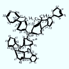 CC1(C)c2cc(-c3ccccc3)ccc2-c2ccc(N(c3ccc4c(c3)sc3ccccc34)c3ccc4c(c3)n3c5ccccc5c5ccc6c7ccccc7n4c6c53)cc21